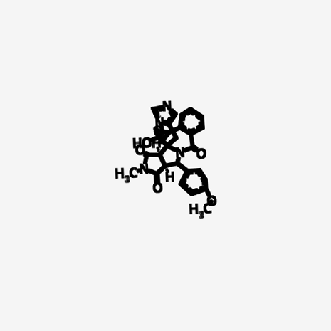 COc1ccc(C2[C@H]3C(=O)N(C)C(=O)[C@H]3C(Cc3cnc[nH]3)(C(=O)O)N2C(=O)c2ccccc2C2CC2)cc1